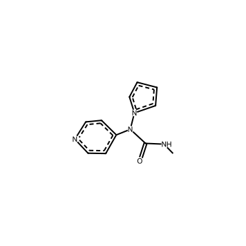 CNC(=O)N(c1ccncc1)n1cccc1